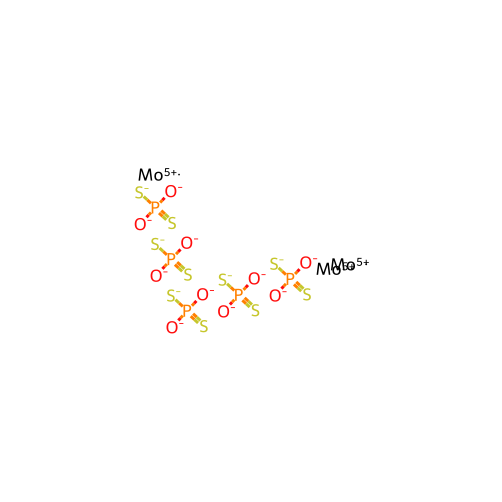 [Mo+5].[Mo+5].[Mo+5].[O-]P([O-])(=S)[S-].[O-]P([O-])(=S)[S-].[O-]P([O-])(=S)[S-].[O-]P([O-])(=S)[S-].[O-]P([O-])(=S)[S-]